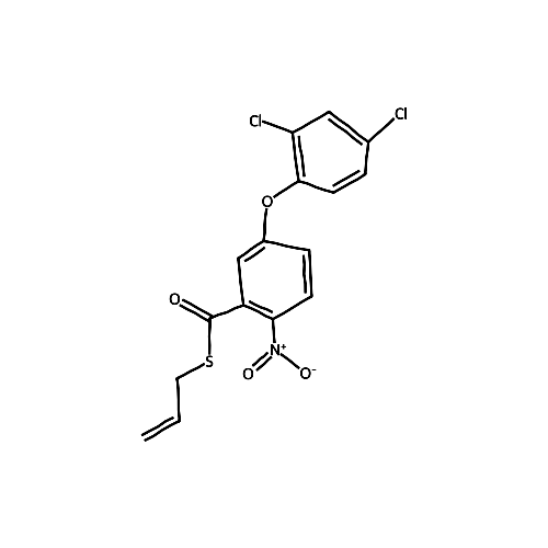 C=CCSC(=O)c1cc(Oc2ccc(Cl)cc2Cl)ccc1[N+](=O)[O-]